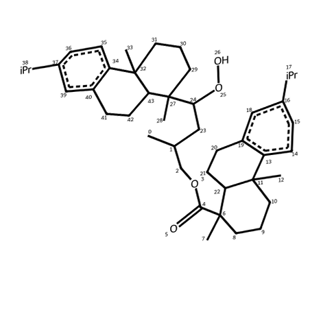 CC(COC(=O)C1(C)CCCC2(C)c3ccc(C(C)C)cc3CCC12)CC(OO)C1(C)CCCC2(C)c3ccc(C(C)C)cc3CCC21